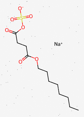 CCCCCCCCOC(=O)CCC(=O)OS(=O)(=O)[O-].[Na+]